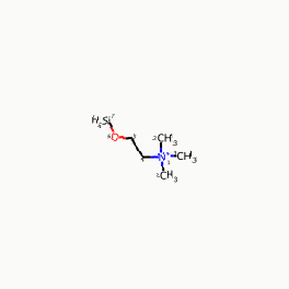 C[N+](C)(C)CCO[SiH3]